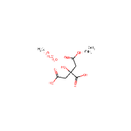 O.O.O.O=C(O)CC(O)(CC(=O)O)C(=O)O.[CaH2].[CaH2].[CaH2]